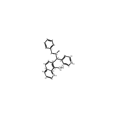 CN(Cc1ccccc1)C(c1ccncc1)c1ccc2cccnc2c1O